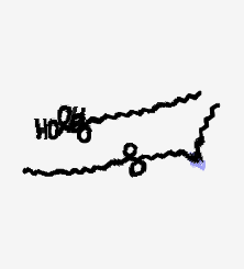 CCCCCCCC/C=C\CCCCCCCC(=O)C(=O)CCCCCCCCCCCCCCC.CCCCCCCCCCCCCCCCCC(=O)OCC(O)CO